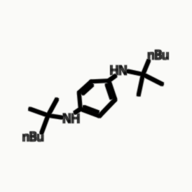 CCCCC(C)(C)Nc1ccc(NC(C)(C)CCCC)cc1